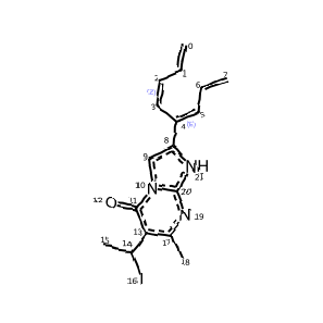 C=C/C=C\C(=C/C=C)c1cn2c(=O)c(C(C)I)c(C)nc2[nH]1